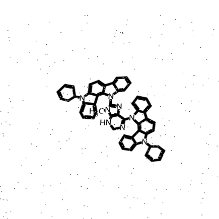 Cn1c(-n2c3ccccc3c3ccc4c(c5ccccc5n4C4C=CC=CC4)c32)nc2c1NCN=C2n1c2ccccc2c2ccc3c(c4ccccc4n3C3C=CC=CC3)c21